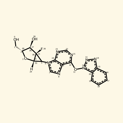 OC[C@H]1O[C@H]2C(n3cnc4c(On5nnc6ccccc65)ncnc43)[C@@]2(F)[C@@H]1O